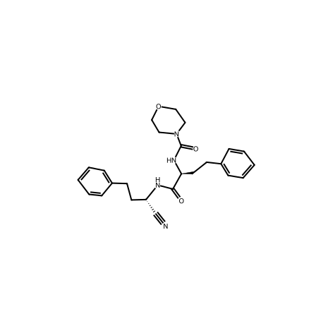 N#C[C@H](CCc1ccccc1)NC(=O)[C@H](CCc1ccccc1)NC(=O)N1CCOCC1